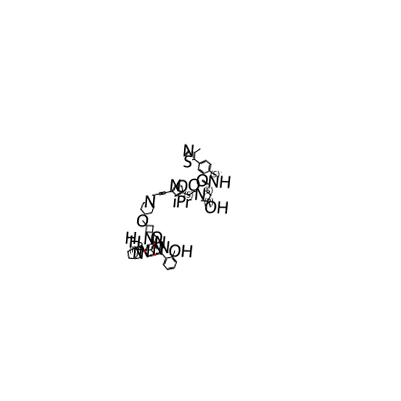 Cc1ncsc1-c1ccc([C@H](C)NC(=O)[C@@H]2C[C@@H](O)CN2C(=O)[C@H](c2cc(C#CCN3CCC(OC4CC(Oc5cc(N6C7CC[C@@H]6CN(c6cc(-c8ccccc8O)nnc6N)C7)ccn5)C4)CC3)no2)C(C)C)cc1